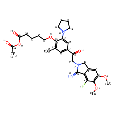 CCOc1cc2c(c(F)c1OCC)C(=N)N(CC(=O)c1cc(N3CCCC3)c(OCCCCC(=O)OC(=O)C(F)(F)F)c(C(C)(C)C)c1)C2